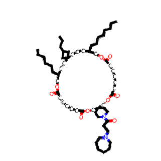 CCCCCCCCC1CCCC2(CCC(CCCCCC)COC(=O)CCCCCC(=O)OCC3(CCN(C(=O)CCN4CCCCCC4)CC3)COC(=O)CCCCCC(=O)OC1)CC(CCC)C2